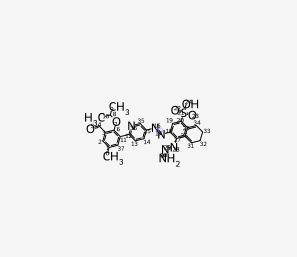 Cc1cc(C=O)c(OC(C)C)c(-c2ccc(/N=N/c3cc(S(=O)(=O)O)c4c(c3N=NN)=CCCC=4)cn2)c1